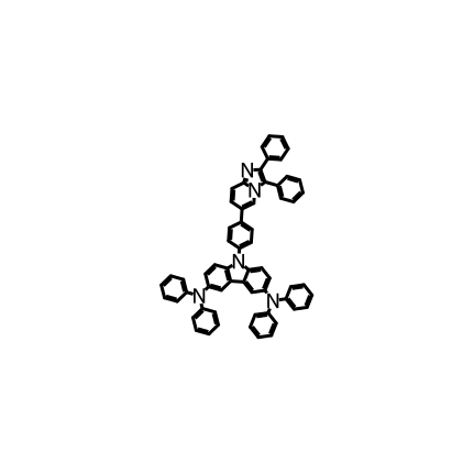 c1ccc(-c2nc3ccc(-c4ccc(-n5c6ccc(N(c7ccccc7)c7ccccc7)cc6c6cc(N(c7ccccc7)c7ccccc7)ccc65)cc4)cn3c2-c2ccccc2)cc1